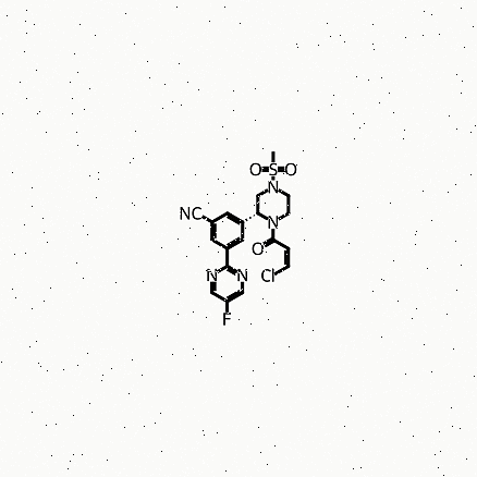 CS(=O)(=O)N1CCN(C(=O)/C=C\Cl)[C@H](c2cc(C#N)cc(-c3ncc(F)cn3)c2)C1